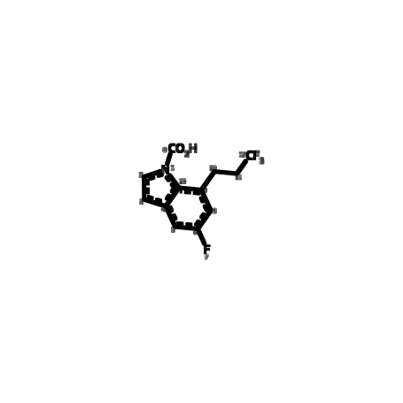 O=C(O)n1ccc2cc(F)cc(CCC(F)(F)F)c21